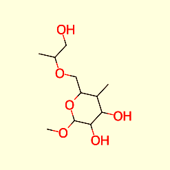 COC1OC(COC(C)CO)C(C)C(O)C1O